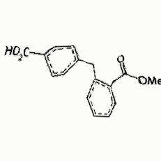 COC(=O)c1ccccc1Cc1ccc(C(=O)O)cc1